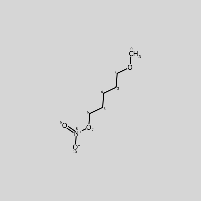 COCCCCCO[N+](=O)[O-]